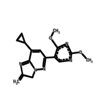 C=C1CN2N=C(c3cnc(OC)nc3OC)C=C(C3CC3)C2=N1